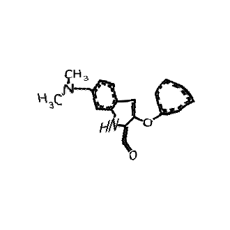 CN(C)c1ccc2c(c1)NC(=C=O)C(Oc1ccccc1)=C2